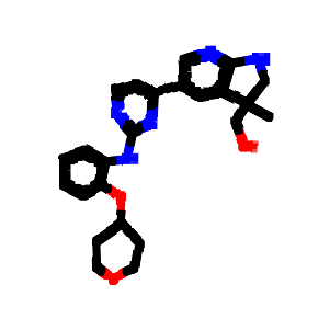 CC1(CO)CNc2ncc(-c3ccnc(Nc4ccccc4OC4CCOCC4)n3)cc21